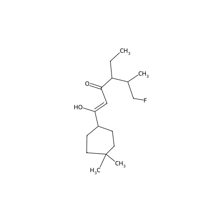 CCC(C(=O)/C=C(\O)C1CCC(C)(C)CC1)C(C)CF